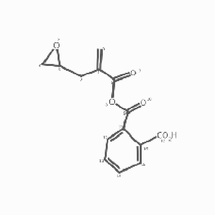 C=C(CC1CO1)C(=O)OC(=O)c1ccccc1C(=O)O